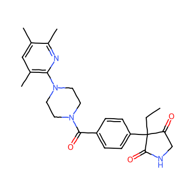 CCC1(c2ccc(C(=O)N3CCN(c4nc(C)c(C)cc4C)CC3)cc2)C(=O)CNC1=O